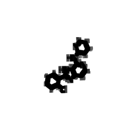 Clc1ccccc1-c1nc2ccnc(Nc3ccccn3)c2[nH]1